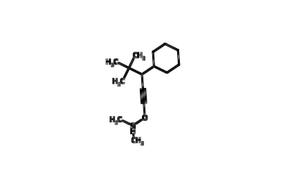 C[SiH](C)OC#CC(C1CCCCC1)C(C)(C)C